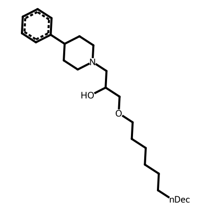 CCCCCCCCCCCCCCCCOCC(O)CN1CCC(c2ccccc2)CC1